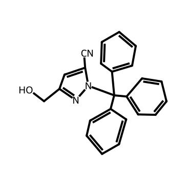 N#Cc1cc(CO)nn1C(c1ccccc1)(c1ccccc1)c1ccccc1